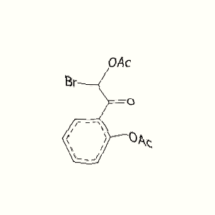 CC(=O)Oc1ccccc1C(=O)C(Br)OC(C)=O